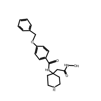 O=C(CC1(NC(=O)c2ccc(OCc3ccccc3)cc2)CCNCC1)NO